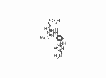 CNc1nc(NCCS(=O)(=O)O)nc(Nc2ccc(Nc3nc(C)nc(CN)n3)cc2)n1